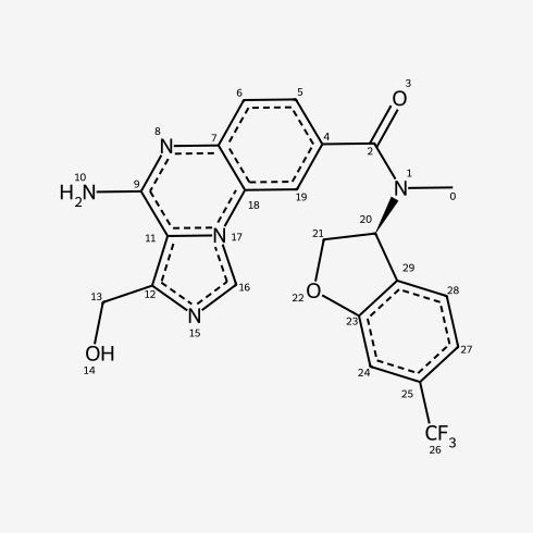 CN(C(=O)c1ccc2nc(N)c3c(CO)ncn3c2c1)[C@@H]1COc2cc(C(F)(F)F)ccc21